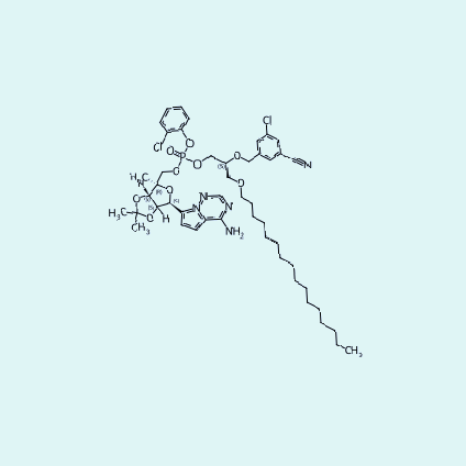 CCCCCCCCCCCCCCCCOC[C@@H](COP(=O)(OC[C@@]1(C)O[C@@H](c2ccc3c(N)ncnn23)[C@@H]2OC(C)(C)O[C@@H]21)Oc1ccccc1Cl)OCc1cc(Cl)cc(C#N)c1